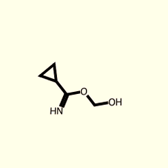 N=C(OCO)C1CC1